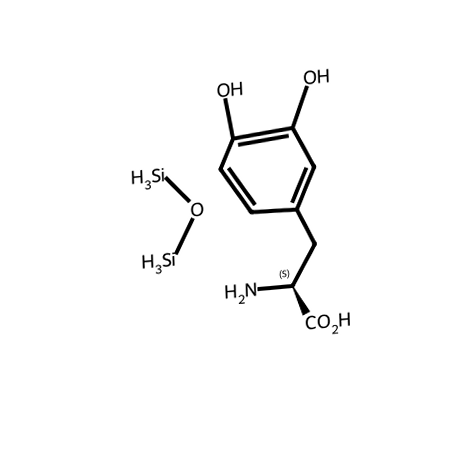 N[C@@H](Cc1ccc(O)c(O)c1)C(=O)O.[SiH3]O[SiH3]